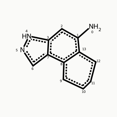 Nc1cc2[nH]ncc2c2ccccc12